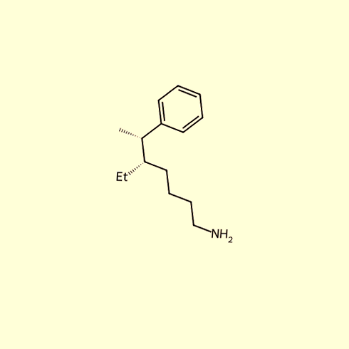 CC[C@@H](CCCCN)[C@H](C)c1ccccc1